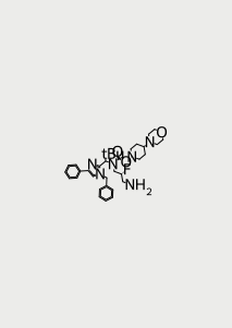 CC(C)(C)[C@H](c1nc(-c2ccccc2)cn1Cc1ccccc1)N(C[C@H](F)CN)C(=O)ON1CCC(N2CCOCC2)CC1